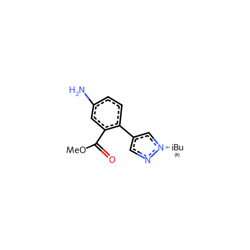 CC[C@@H](C)n1cc(-c2ccc(N)cc2C(=O)OC)cn1